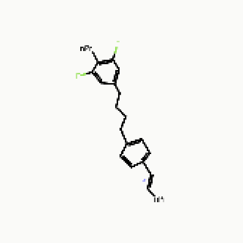 CCC/C=C/c1ccc(CCCCc2cc(F)c(CCC)c(F)c2)cc1